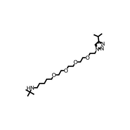 CC(C)c1cn(CCOCCOCCOCCOCCCCCNC(C)(C)C)nn1